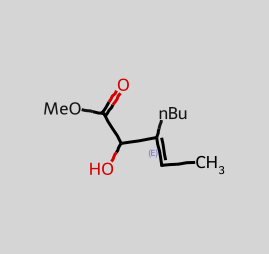 C/C=C(\CCCC)C(O)C(=O)OC